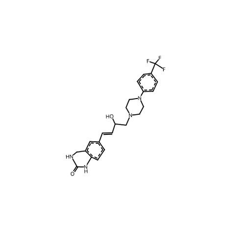 O=C1NCc2cc(/C=C/C(O)CN3CCN(c4ccc(C(F)(F)F)cc4)CC3)ccc2N1